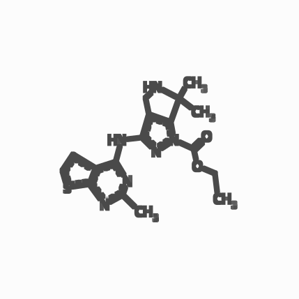 CCOC(=O)n1nc(Nc2nc(C)nc3sccc23)c2c1C(C)(C)NC2